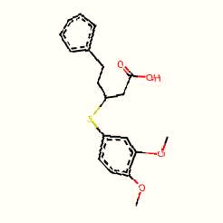 COc1ccc(SC(CCc2ccccc2)CC(=O)O)cc1OC